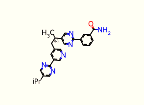 CC(C)c1cnc(-c2cncc(C[C@@H](C)c3cnc(-c4cccc(C(N)=O)c4)nc3)c2)nc1